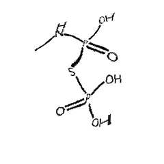 CNP(=O)(O)SP(=O)(O)O